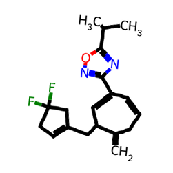 C=C1CC=CC(c2noc(C(C)C)n2)=CC1CC1=CCC(F)(F)C1